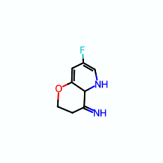 N=C1CCOC2=CC(F)=CNC12